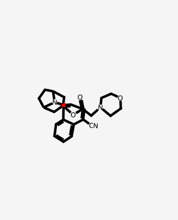 N#Cc1ccc(N2C3CCC2CC(OC(=O)CN2CCOCC2)C3)c2ccccc12